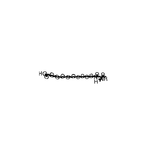 CCC(=O)[C@@H](CCC(=O)NCCOCCOCCOCCOCCOCCOCCOCCOCCOCCC(=O)O)NC(C)C